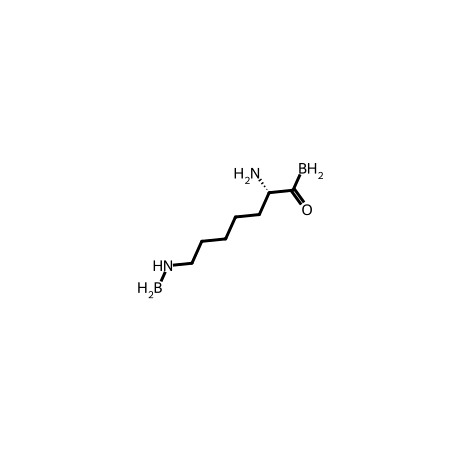 BNCCCCC[C@H](N)C(B)=O